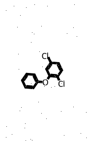 Clc1ccc(Cl)c(Oc2ccccc2)c1